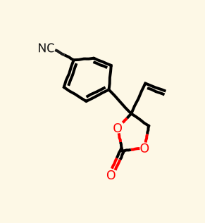 C=CC1(c2ccc(C#N)cc2)COC(=O)O1